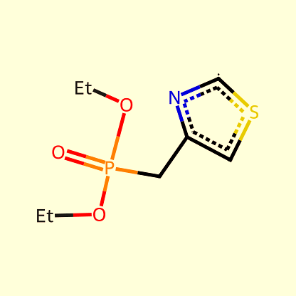 CCOP(=O)(Cc1cs[c]n1)OCC